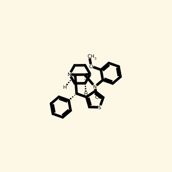 COc1ccccc1N(C)[C@@H]1C2CCN(CC2)[C@@H]1[C@@H](c1ccccc1)c1ccsc1